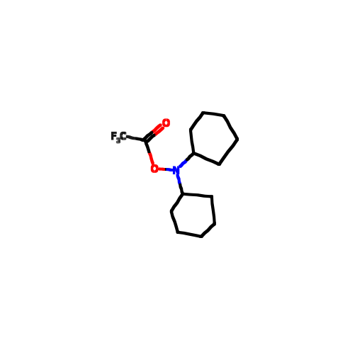 O=C(ON(C1CCCCC1)C1CCCCC1)C(F)(F)F